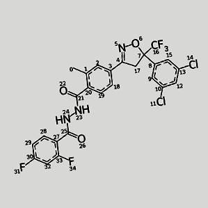 Cc1cc(C2=NOC(c3cc(Cl)cc(Cl)c3)(C(F)(F)F)C2)ccc1C(=O)NNC(=O)c1ccc(F)cc1F